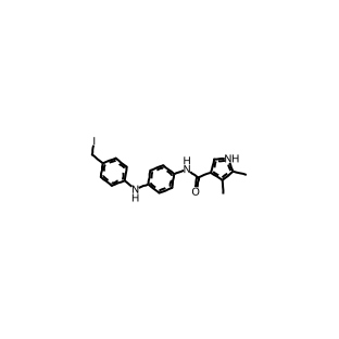 Cc1[nH]cc(C(=O)Nc2ccc(Nc3ccc(CI)cc3)cc2)c1C